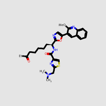 CCC(=O)CCCCC[C@H](NC(=O)c1csc(CN(C)C)n1)c1ncc(-c2cc3ccccc3nc2OC)o1